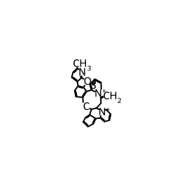 C=C1CC2C(CCc3ccc4c(oc5nc(C)ccc54)c3-c3c4sccc4cc[n+]31)c1ccccc1-c1cccc[n+]12